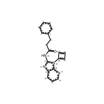 O=C(CCc1ccccc1)Nc1nc2cccnc2n1C1=CC=C1